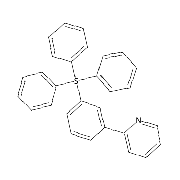 c1ccc(S(c2ccccc2)(c2ccccc2)c2cccc(-c3ccccn3)c2)cc1